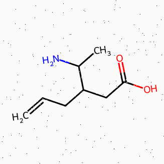 C=CCC(CC(=O)O)C(C)N